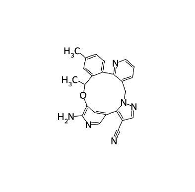 Cc1ccc2c(c1)C(C)Oc1cc(cnc1N)-c1c(C#N)cnn1Cc1cccnc1-2